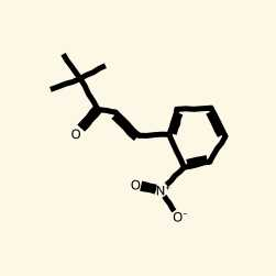 CC(C)(C)C(=O)C=Cc1ccccc1[N+](=O)[O-]